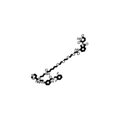 O=C(CCCCCOCCOCCOCCOCC(=O)Nc1cccc2c1CN(C1CCC(=O)NC1=O)C2=O)NCCCn1c(CNc2cccc(C(=O)NCc3c(F)cccc3F)c2)nnc1-c1ccncn1